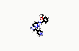 FC(F)(F)Oc1ccccc1CNc1ccc2ncc(-c3ccncc3)n2n1